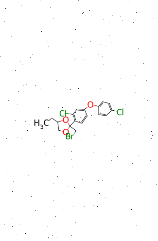 CCC1COC(CBr)(c2ccc(Oc3ccc(Cl)cc3)cc2Cl)O1